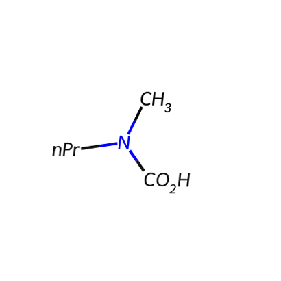 CCCN(C)C(=O)O